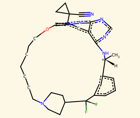 C[C@H]1Nc2ncnc3nc(c(C4(C#N)CC4)cc23)OCCCCCCCN2CCC(CC2)C(F)(F)c2cccc1c2